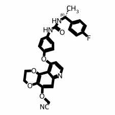 C[C@@H](NC(=O)Nc1ccc(Oc2ccnc3cc(OCC#N)c4c(c23)OCCO4)cc1)c1ccc(F)cc1